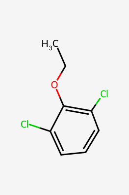 CCOc1c(Cl)cccc1Cl